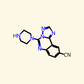 N#Cc1ccc2nc(N3CCNCC3)n3ncnc3c2c1